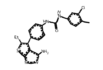 CCc1sc2ncnc(N)c2c1-c1ccc(NC(=O)Nc2ccc(C)c(Cl)c2)cc1